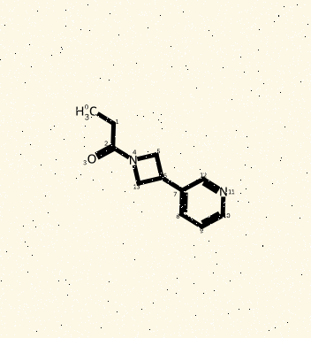 CCC(=O)N1CC(c2cccnc2)C1